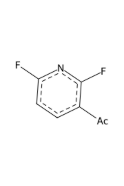 CC(=O)c1ccc(F)nc1F